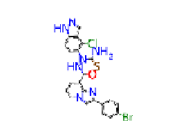 NC(=S)N(NC(=O)c1cccn2cc(-c3ccc(Br)cc3)nc12)c1ccc2[nH]ncc2c1Cl